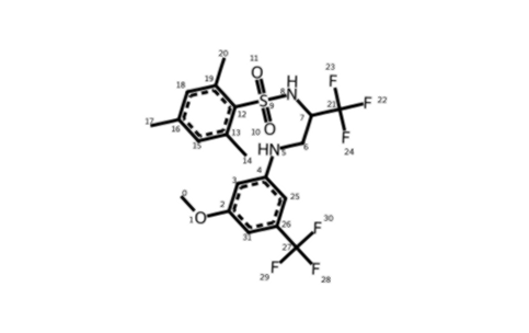 COc1cc(NCC(NS(=O)(=O)c2c(C)cc(C)cc2C)C(F)(F)F)cc(C(F)(F)F)c1